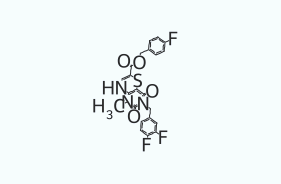 Cn1c2c(c(=O)n(Cc3ccc(F)c(F)c3)c1=O)SC(C(=O)OCc1ccc(F)cc1)=CN2